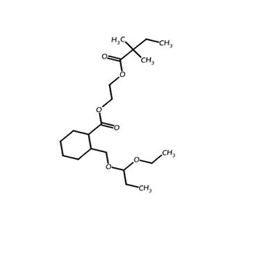 CCOC(CC)OCC1CCCCC1C(=O)OCCOC(=O)C(C)(C)CC